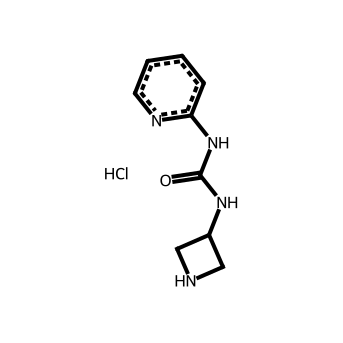 Cl.O=C(Nc1ccccn1)NC1CNC1